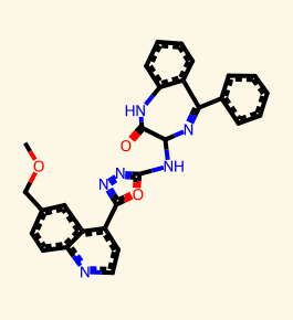 COCc1ccc2nccc(-c3nnc(NC4N=C(c5ccccc5)c5ccccc5NC4=O)o3)c2c1